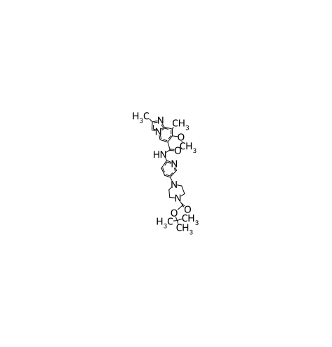 COc1c(C(=O)Nc2ccc(N3CCN(C(=O)OC(C)(C)C)CC3)cn2)cn2cc(C)nc2c1C